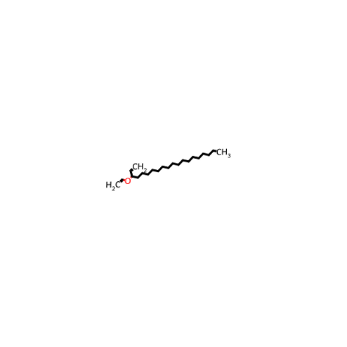 C=COC(C=C)CCCCCCCCCCCCCCCCC